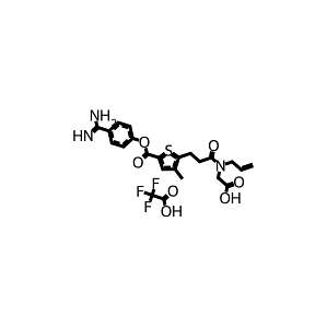 C=CCN(CC(=O)O)C(=O)CCc1sc(C(=O)Oc2ccc(C(=N)N)cc2)cc1C.O=C(O)C(F)(F)F